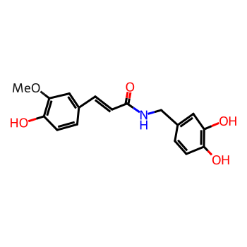 COc1cc(C=CC(=O)NCc2ccc(O)c(O)c2)ccc1O